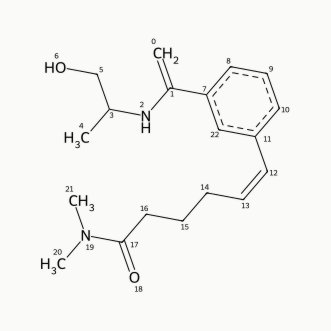 C=C(NC(C)CO)c1cccc(/C=C\CCCC(=O)N(C)C)c1